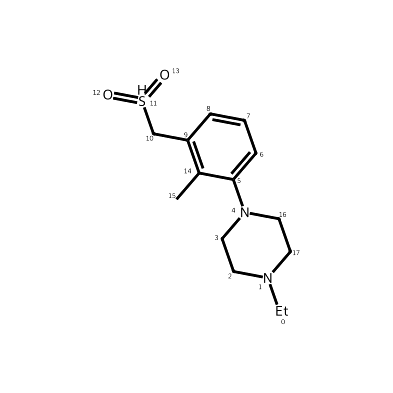 CCN1CCN(c2cccc(C[SH](=O)=O)c2C)CC1